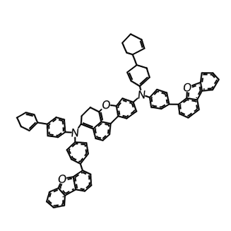 C1=CC(c2ccc(N(C3=c4cccc5c4=C(CC3)Oc3cc(N(C4=CCC(C6C=CCCC6)C=C4)c4ccc(-c6cccc7c6oc6ccccc67)cc4)ccc3-5)c3ccc(-c4cccc5c4oc4ccccc45)cc3)cc2)=CCC1